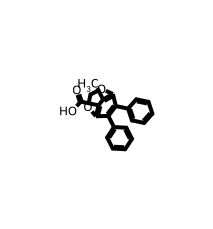 Cc1c2c(-c3ccccc3)c(-c3ccccc3)c(c1C(=O)O)OCO2